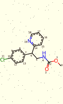 COC(=O)NCC(c1ccc(Cl)cc1)c1ccccn1